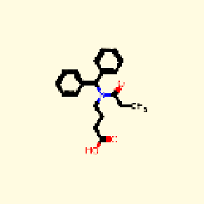 CCC(=O)N(CCCC(=O)O)C(c1ccccc1)c1ccccc1